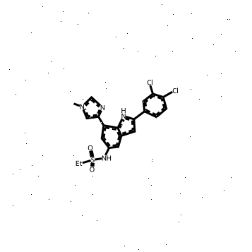 CCS(=O)(=O)Nc1cc(-c2cn(C)cn2)c2[nH]c(-c3ccc(Cl)c(Cl)c3)cc2c1